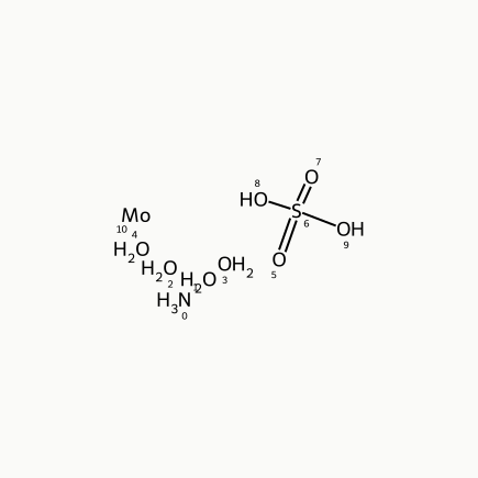 N.O.O.O.O.O=S(=O)(O)O.[Mo]